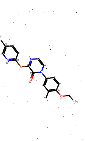 Cc1cc(-n2ccnc(Sc3ccc(C(F)(F)F)cn3)c2=O)ccc1OCC(C)(C)C